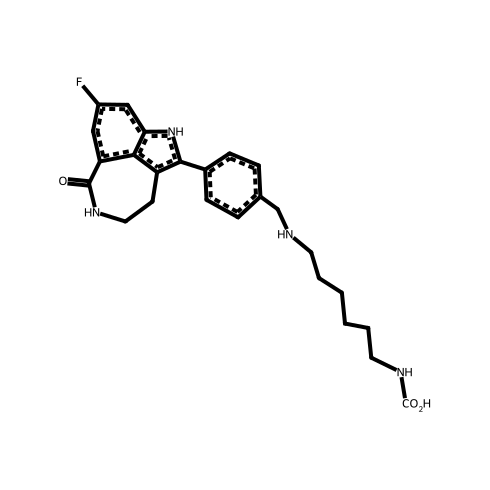 O=C(O)NCCCCCCNCc1ccc(-c2[nH]c3cc(F)cc4c3c2CCNC4=O)cc1